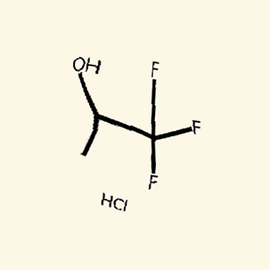 CC(O)C(F)(F)F.Cl